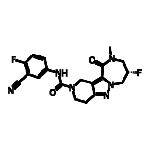 CN1C[C@H](F)Cn2nc3c(c2C1=O)CN(C(=O)Nc1ccc(F)c(C#N)c1)CC3